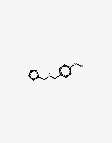 CCOc1ccc(CNCc2ccco2)cc1